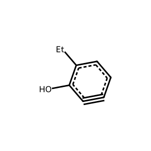 CCc1ccc#cc1O